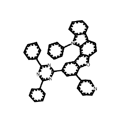 c1ccc(-c2nc(-c3ccccc3)nc(-c3cc(-c4cccnc4)c4oc5ccc6c7ccccc7n(-c7ccccc7)c6c5c4c3)n2)cc1